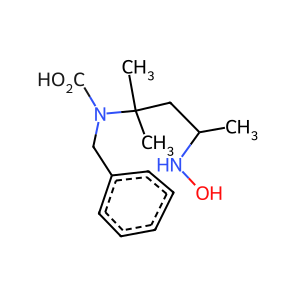 CC(CC(C)(C)N(Cc1ccccc1)C(=O)O)NO